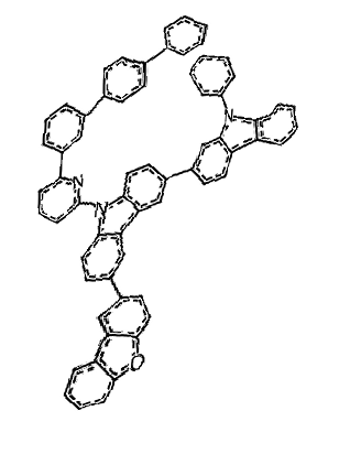 c1ccc(-c2ccc(-c3cccc(-c4cccc(-n5c6ccc(-c7ccc8oc9ccccc9c8c7)cc6c6cc(-c7ccc8c9ccccc9n(-c9ccccc9)c8c7)ccc65)n4)c3)cc2)cc1